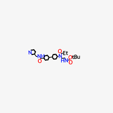 CCC(=O)N(CCNC(=O)OC(C)(C)C)c1ccc(-c2ccc(C(=O)NCc3cccnc3)cc2)cc1